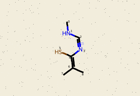 CN/C=N\C(S)=C(C)C